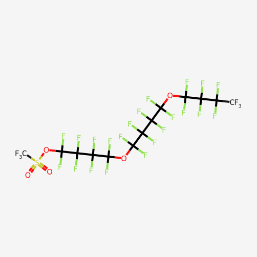 O=S(=O)(OC(F)(F)C(F)(F)C(F)(F)C(F)(F)OC(F)(F)C(F)(F)C(F)(F)C(F)(F)OC(F)(F)C(F)(F)C(F)(F)C(F)(F)F)C(F)(F)F